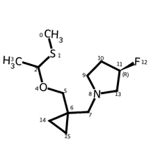 CSC(C)OCC1(CN2CC[C@@H](F)C2)CC1